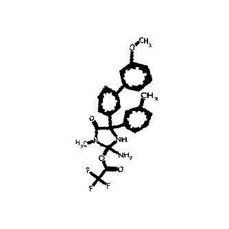 COc1cccc(-c2cccc(C3(c4cccc(C)c4)NC(N)(OC(=O)C(F)(F)F)N(C)C3=O)c2)c1